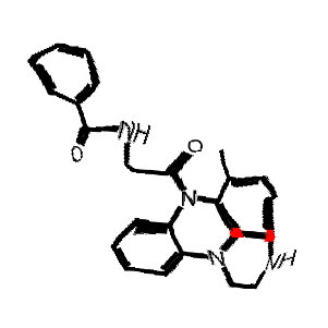 Cc1ccccc1N(C(=O)CNC(=O)c1ccccc1)c1ccccc1N1CCNCC1